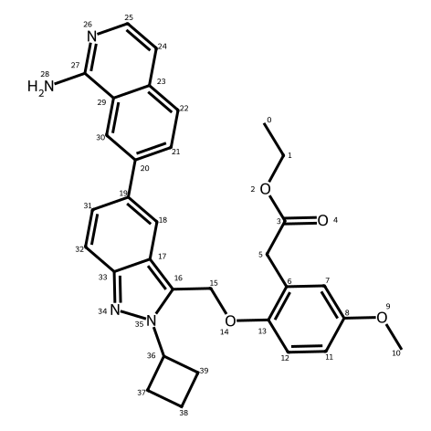 CCOC(=O)Cc1cc(OC)ccc1OCc1c2cc(-c3ccc4ccnc(N)c4c3)ccc2nn1C1CCC1